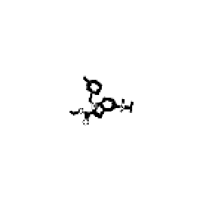 CCOC(=O)c1cc2cc(S(C)(C)C(C)C)ccc2n1Cc1cccc(C)c1